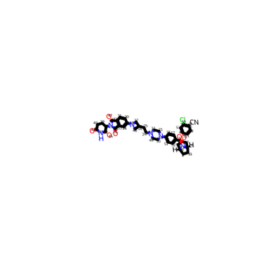 N#Cc1ccc(O[C@H]2C[C@H]3CC[C@@H](C2)N3C(=O)c2ccc(N3CCN(CCC4CN(c5ccc6c(c5)C(=O)N(C5CCC(=O)NC5=O)C6=O)C4)CC3)cc2)cc1Cl